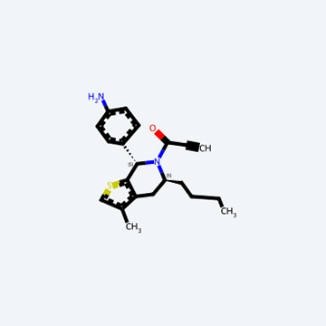 C#CC(=O)N1[C@@H](CCCC)Cc2c(C)csc2[C@@H]1c1ccc(N)cc1